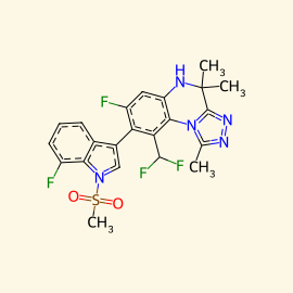 Cc1nnc2n1-c1c(cc(F)c(-c3cn(S(C)(=O)=O)c4c(F)cccc34)c1C(F)F)NC2(C)C